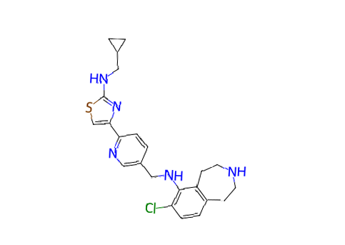 Clc1ccc2c(c1NCc1ccc(-c3csc(NCC4CC4)n3)nc1)CCNCC2